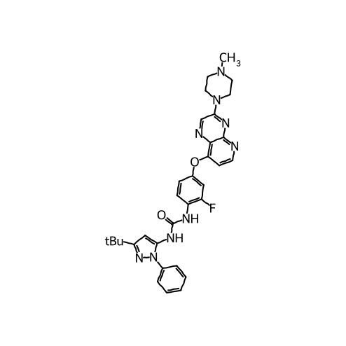 CN1CCN(c2cnc3c(Oc4ccc(NC(=O)Nc5cc(C(C)(C)C)nn5-c5ccccc5)c(F)c4)ccnc3n2)CC1